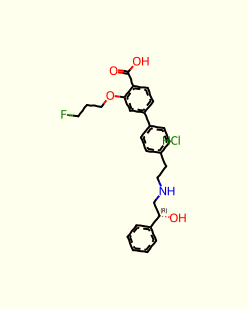 Cl.O=C(O)c1ccc(-c2ccc(CCNC[C@H](O)c3ccccc3)cc2)cc1OCCCF